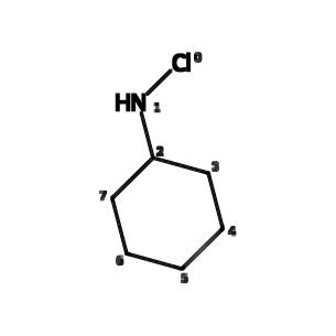 ClNC1CCCCC1